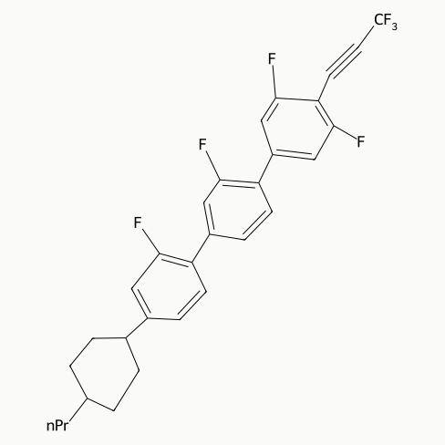 CCCC1CCC(c2ccc(-c3ccc(-c4cc(F)c(C#CC(F)(F)F)c(F)c4)c(F)c3)c(F)c2)CC1